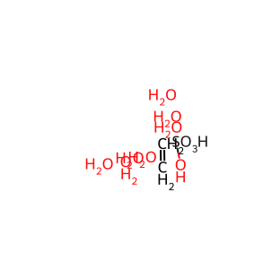 C=C.O.O.O.O.O.O.O.O=S(=O)(O)O